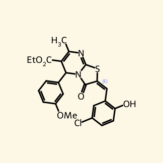 CCOC(=O)C1=C(C)N=c2s/c(=C/c3cc(Cl)ccc3O)c(=O)n2C1c1cccc(OC)c1